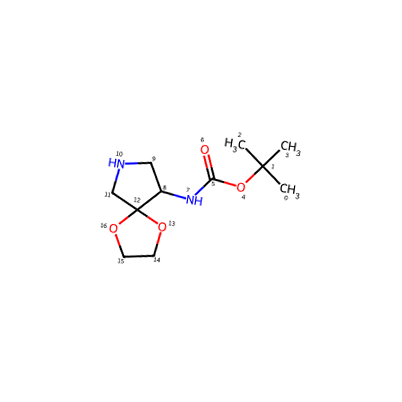 CC(C)(C)OC(=O)NC1CNCC12OCCO2